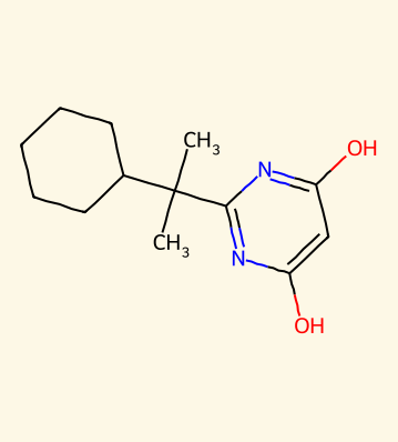 CC(C)(c1nc(O)cc(O)n1)C1CCCCC1